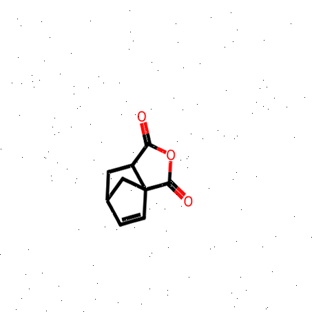 O=C1OC(=O)C23C=CC(CC12)C3